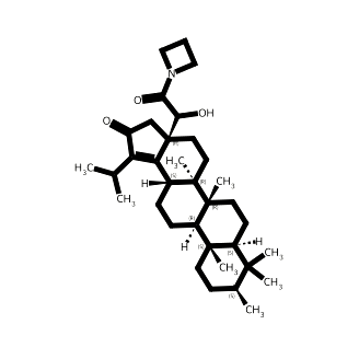 CC(C)C1=C2[C@H]3CC[C@@H]4[C@@]5(C)CC[C@H](C)C(C)(C)[C@@H]5CC[C@@]4(C)[C@]3(C)CC[C@@]2(C(O)C(=O)N2CCC2)CC1=O